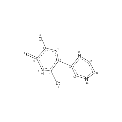 CCc1[nH]c(=O)c(Cl)cc1-c1cnccn1